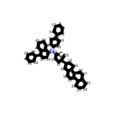 c1ccc(-c2ccc(N(c3ccc(-c4ccc5c(ccc6c7ccccc7ccc56)c4)cc3)c3ccc(-c4ccccc4)c4ccccc34)cc2)cc1